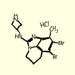 Cc1c(Br)c(Br)c2c3c1nc(NC1CNC1)n3CCC2.Cl